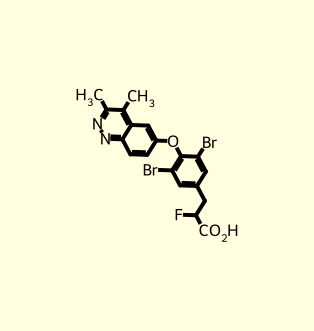 Cc1nnc2ccc(Oc3c(Br)cc(CC(F)C(=O)O)cc3Br)cc2c1C